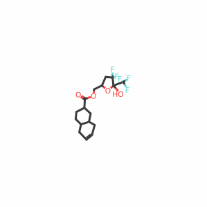 O=C(OCC1CC(F)(F)C(O)(C(F)(F)F)O1)C1CCC2CC=CCC2C1